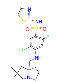 Cc1csc(NS(=O)(=O)c2cc(Cl)c(NCC34CCCN3CC(C)(C)C4)cc2F)n1